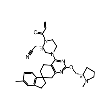 C=CC(=O)N1CCN(c2nc(OC[C@@H]3CCCN3C)nc3c2CCC2(CCc4cc(C)ccc42)C3)C[C@@H]1CC#N